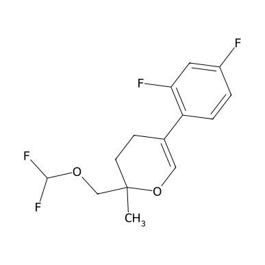 CC1(COC(F)F)CCC(c2ccc(F)cc2F)=CO1